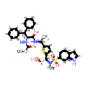 COC(=O)N[C@H](C(=O)N[C@H](c1ccc([C@@H](CO)N(C(C)C)S(=O)(=O)c2ccc3cc[nH]c3c2)s1)C(F)(F)F)C(c1ccccc1)c1ccccc1